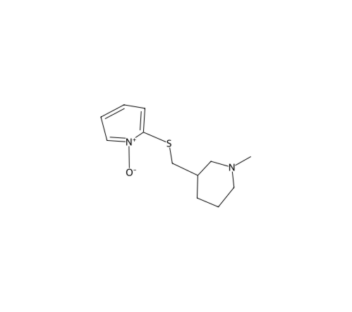 CN1CCCC(CSc2cccc[n+]2[O-])C1